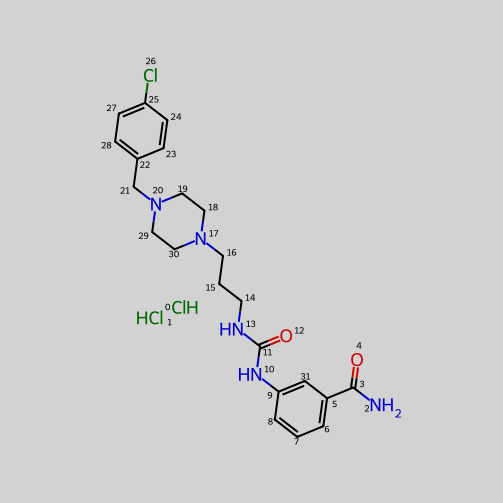 Cl.Cl.NC(=O)c1cccc(NC(=O)NCCCN2CCN(Cc3ccc(Cl)cc3)CC2)c1